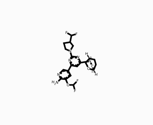 Nc1ncc(-c2cc(N3C[C@@H]4CC[C@H]3CO4)nc(N3CCC(C(F)F)C3)n2)cc1OC(F)F